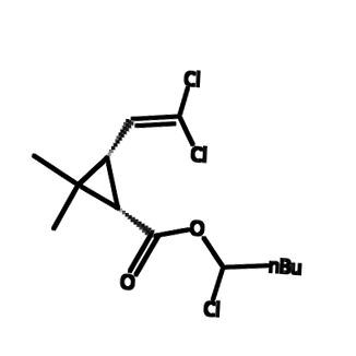 CCCCC(Cl)OC(=O)[C@H]1[C@@H](C=C(Cl)Cl)C1(C)C